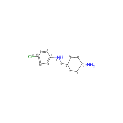 NC1CCC(CNc2ccc(Cl)cc2)CC1